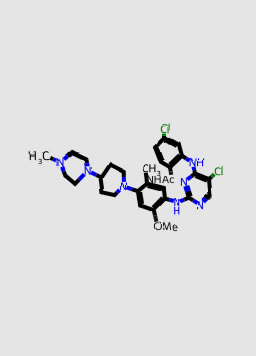 COc1cc(N2CCC(N3CCN(C)CC3)CC2)c(C)cc1Nc1ncc(Cl)c(Nc2cc(Cl)ccc2NC(C)=O)n1